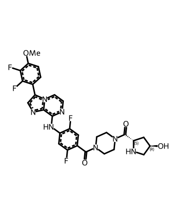 COc1ccc(-c2cnc3c(Nc4cc(F)c(C(=O)N5CCN(C(=O)[C@@H]6C[C@@H](O)CN6)CC5)cc4F)nccn23)c(F)c1F